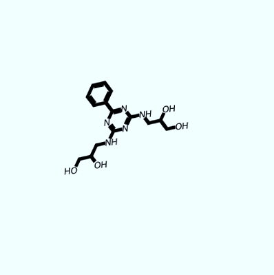 OCC(O)CNc1nc(NCC(O)CO)nc(-c2ccccc2)n1